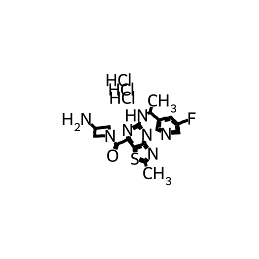 Cc1nc2nc(NC(C)c3cncc(F)c3)nc(C(=O)N3CC(N)C3)c2s1.Cl.Cl.Cl